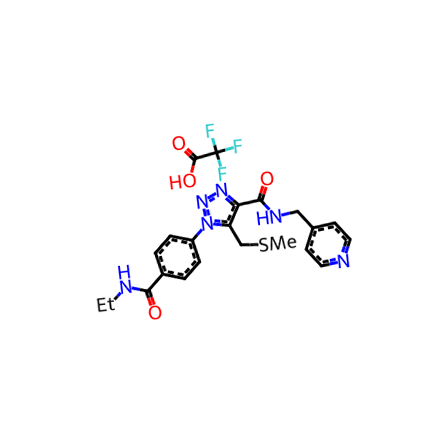 CCNC(=O)c1ccc(-n2nnc(C(=O)NCc3ccncc3)c2CSC)cc1.O=C(O)C(F)(F)F